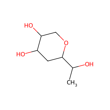 CC(O)C1CC(O)C(O)CO1